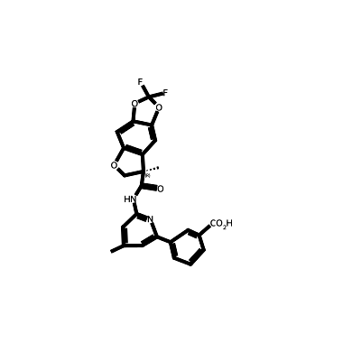 Cc1cc(NC(=O)[C@@]2(C)COc3cc4c(cc32)OC(F)(F)O4)nc(-c2cccc(C(=O)O)c2)c1